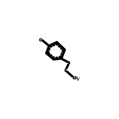 [CH2]SSc1ccc(Cl)cc1